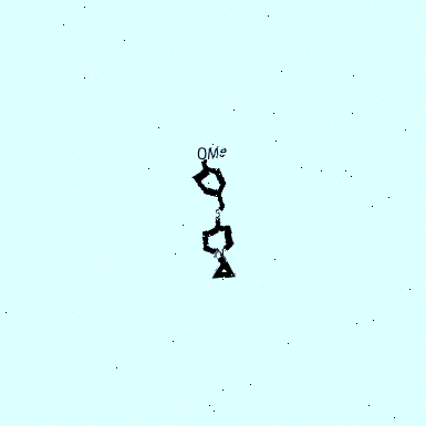 COc1ccc(CSC2=CCN(C3CC3)C=C2)cc1